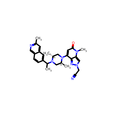 Cc1cc2cc(C(C)N3C[C@H](C)N(c4cc(=O)n(C)c5cn(CC#N)nc45)C[C@H]3C)ccc2cn1